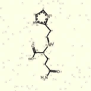 NC(=O)CC[C@H](NCCc1ncc[nH]1)C(=O)O